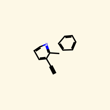 C#Cc1cccnc1C.c1ccccc1